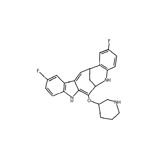 Fc1ccc2c(c1)C1C=c3c([nH]c4ccc(F)cc34)=C(OC3CCCNC3)C(C1)N2